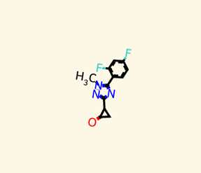 Cn1nc(C2CC2=O)nc1-c1ccc(F)cc1F